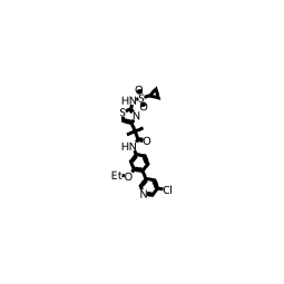 CCOc1cc(NC(=O)C(C)(C)c2csc(NS(=O)(=O)C3CC3)n2)ccc1-c1cncc(Cl)c1